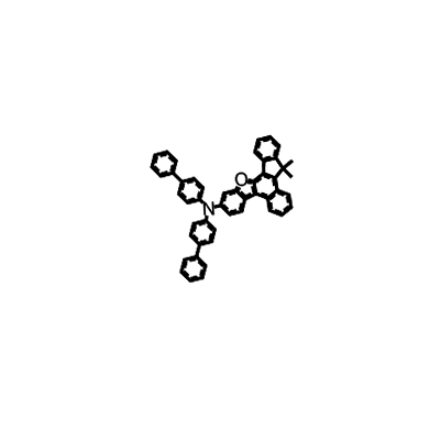 CC1(C)c2ccccc2-c2c1c1ccccc1c1c2oc2cc(N(c3ccc(-c4ccccc4)cc3)c3ccc(-c4ccccc4)cc3)ccc21